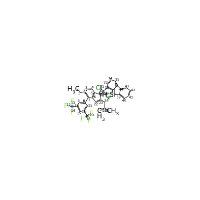 CCc1ccc2c(c1-c1cc(C(F)(F)F)cc(C(F)(F)F)c1)C=C(CC(C)C)[CH]2[Zr]([Cl])([Cl])[c]1cccc2c1[SiH2]c1ccccc1-2